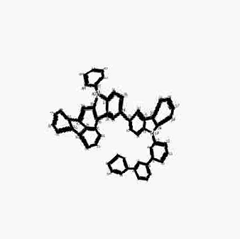 c1ccc(-c2cccc(-c3cccc(-n4c5ccccc5c5cc(-c6ccc7c(c6)c6c8cccc9c8c(cc6n7-c6ccccc6)-c6ccccc6-9)ccc54)c3)c2)cc1